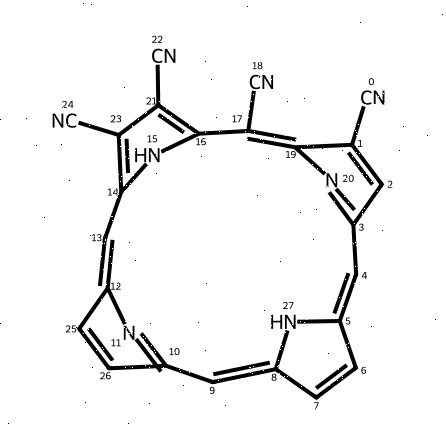 N#CC1=Cc2cc3ccc(cc4nc(cc5[nH]c(c(C#N)c1n2)c(C#N)c5C#N)C=C4)[nH]3